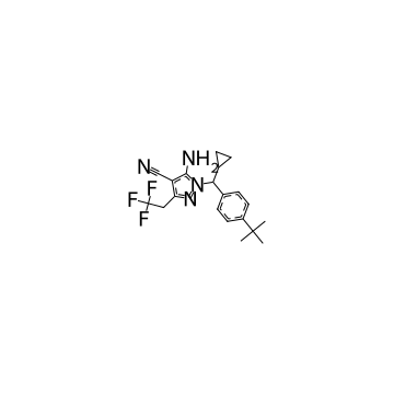 CC(C)(C)c1ccc(C(C2CC2)n2nc(CC(F)(F)F)c(C#N)c2N)cc1